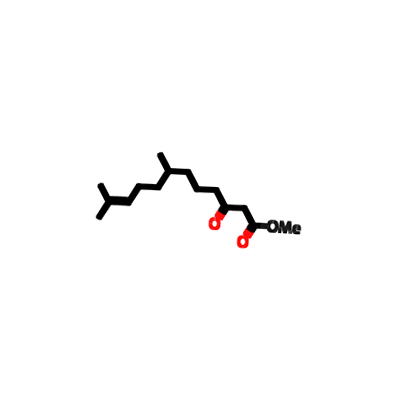 COC(=O)CC(=O)CCCC(C)CCC=C(C)C